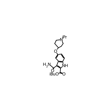 CC(C)COC(=O)c1[nH]c2ccc(OC3CCN(C(C)C)CC3)cc2c1C(N)=O